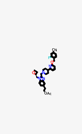 CC(=O)OCCc1ccc2c(c1)nc(CN1CCC(c3cccc(OCc4ccc(C#N)cc4F)n3)CC1)n2C[C@@H]1CCO1